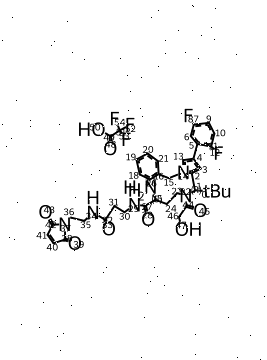 CC(C)(C)[C@H](c1cc(-c2cc(F)ccc2F)cn1Cc1ccccc1)N(CC[C@H](N)C(=O)NCCC(=O)NCCN1C(=O)C=CC1=O)C(=O)CO.O=C(O)C(F)(F)F